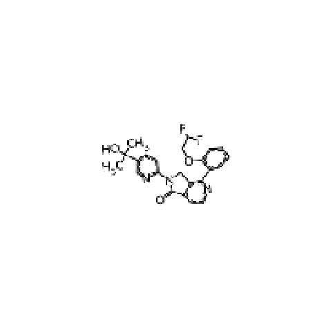 CC(C)(O)c1ccc(N2Cc3c(ccnc3-c3ccccc3OCC(F)F)C2=O)nc1